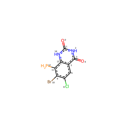 O=c1[nH]c(=O)c2cc(Cl)c(Br)c(P)c2[nH]1